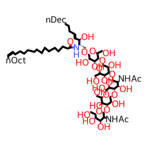 CCCCCCCC/C=C\CCCCCCCCCCCCCC(=O)N[C@@H](CO[C@@H]1OC(CO)[C@@H](O[C@@H]2OC(CO)[C@H](O)[C@H](O[C@@H]3OC(CO)[C@@H](O[C@@H]4OC(CO)[C@H](O)[C@H](O[C@H]5OC(CO)[C@@H](O)[C@H](O)C5NC(C)=O)C4O)[C@H](O)C3NC(C)=O)C2O)[C@H](O)C1O)[C@H](O)/C=C/CCCCCCCCCCCCC